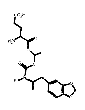 CCN(C(=O)OC(C)OC(=O)C(N)CCC(=O)O)C(C)Cc1ccc2c(c1)OCO2